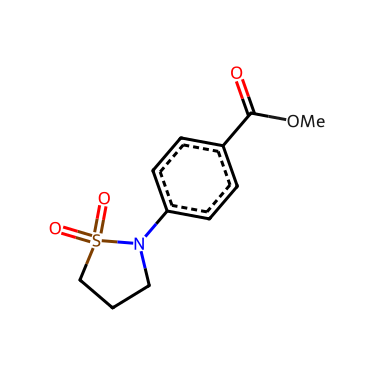 COC(=O)c1ccc(N2CCCS2(=O)=O)cc1